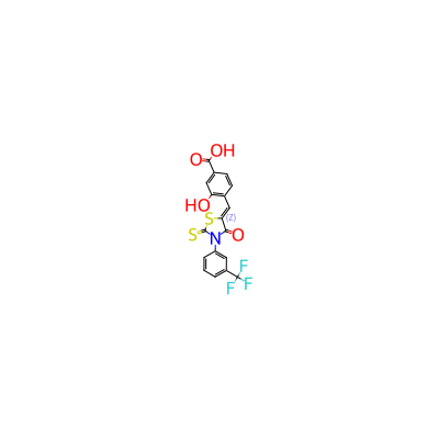 O=C(O)c1ccc(/C=C2\SC(=S)N(c3cccc(C(F)(F)F)c3)C2=O)c(O)c1